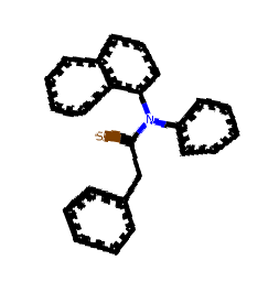 S=C(Cc1ccccc1)N(c1ccccc1)c1cccc2ccccc12